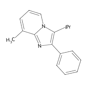 Cc1cccn2c(C(C)C)c(-c3ccccc3)nc12